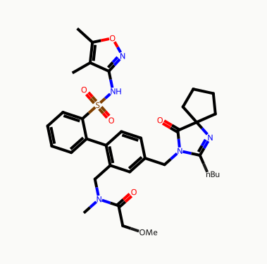 CCCCC1=NC2(CCCC2)C(=O)N1Cc1ccc(-c2ccccc2S(=O)(=O)Nc2noc(C)c2C)c(CN(C)C(=O)COC)c1